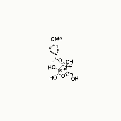 COc1ccc(C(C)O[C@H]2[C@@H](O)C(O)O[C@H](CO)[C@@]2(O)F)cc1